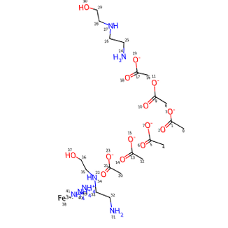 CC(=O)[O-].CC(=O)[O-].CC(=O)[O-].CC(=O)[O-].CC(=O)[O-].CC(=O)[O-].NCCNCCO.NCCNCCO.[Fe+3].[NH4+].[NH4+].[NH4+]